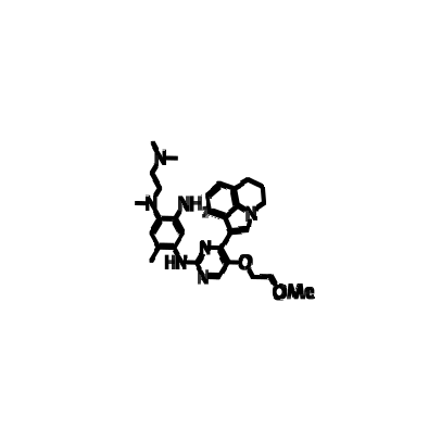 COCCOc1cnc(Nc2cc(N)c(N(C)CCN(C)C)cc2C)nc1-c1cn2c3c(cccc13)CCC2